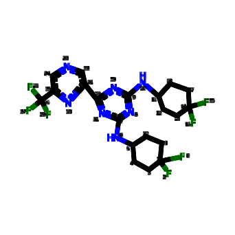 FC1(F)CCC(Nc2nc(NC3CCC(F)(F)CC3)nc(-c3cncc(C(F)(F)F)n3)n2)CC1